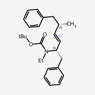 CCN(C(=O)OC(C)(C)C)[C@H](/C=C/[C@@H](C)Cc1ccccc1)Cc1ccccc1